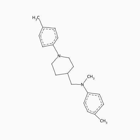 Cc1ccc(N(C)CC2CCN(c3ccc(C)cc3)CC2)cc1